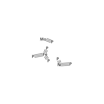 [P]#[Fe](#[P])#[P].[P]#[Mo].[P]#[Ni]#[P]